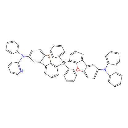 c1ccc([Si](c2ccccc2)(c2cccc3c2oc2ccc(-n4c5ccccc5c5ccccc54)cc23)c2cccc3c2sc2ccc(-n4c5ccccc5c5cccnc54)cc23)cc1